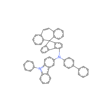 C1=Cc2ccccc2C2(c3ccccc31)c1ccccc1-c1c(N(c3ccc(-c4ccccc4)cc3)c3ccc4c(c3)c3ccccc3n4-c3ccccc3)cccc12